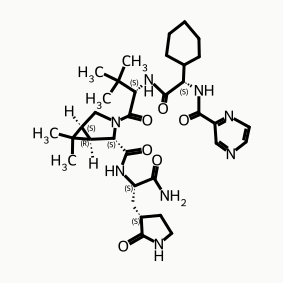 CC(C)(C)[C@H](NC(=O)[C@@H](NC(=O)c1cnccn1)C1CCCCC1)C(=O)N1C[C@H]2[C@@H]([C@H]1C(=O)N[C@@H](C[C@@H]1CCNC1=O)C(N)=O)C2(C)C